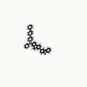 CC1(C)c2cc(-c3ccc4sc5ccccc5c4c3)ccc2-c2ccc(N(C3=CC=CCC3)C3C=CC(C4C=CC(C5=CC=CCC5)=CC4)=CC3)cc21